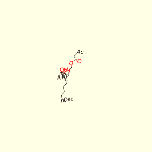 CC(C)O.CC(C)O.CCCCCCCCCCCCCCCCCCOC(=O)CC(C)=O.[AlH3]